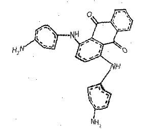 Nc1ccc(Nc2ccc(Nc3ccc(N)cc3)c3c2C(=O)c2ccccc2C3=O)cc1